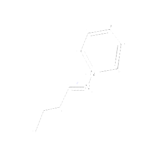 CCC/C=N/[n+]1ccccc1